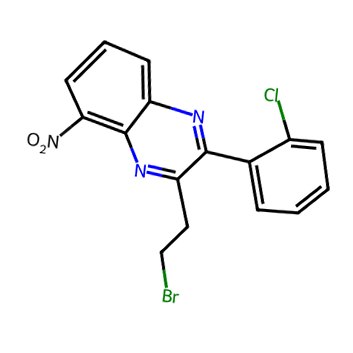 O=[N+]([O-])c1cccc2nc(-c3ccccc3Cl)c(CCBr)nc12